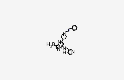 Bc1cnn2c(NCc3cccnc3)cc(C3CCN(C/C=C/c4ccccc4)CC3)nc12